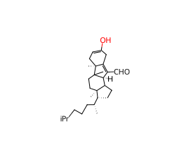 CC(C)CCC[C@@H](C)[C@H]1CCC2[C@@H]3C(C=O)=C4CC(O)=CC[C@]4(C)C3(C)CC[C@@]21C